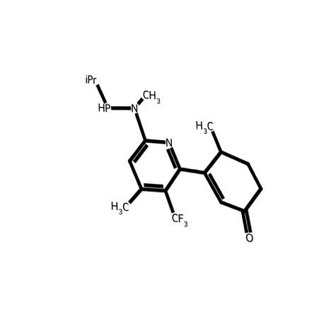 Cc1cc(N(C)PC(C)C)nc(C2=CC(=O)CCC2C)c1C(F)(F)F